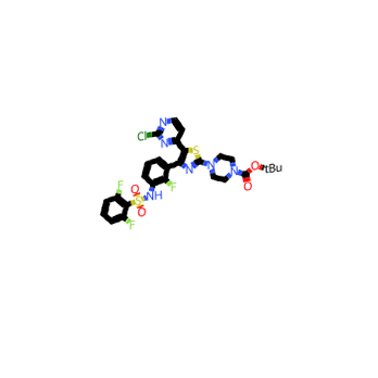 CC(C)(C)OC(=O)N1CCN(c2nc(-c3cccc(NS(=O)(=O)c4c(F)cccc4F)c3F)c(-c3ccnc(Cl)n3)s2)CC1